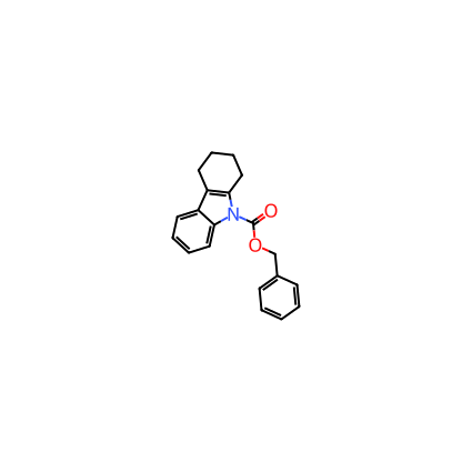 O=C(OCc1ccccc1)n1c2c(c3ccccc31)CCCC2